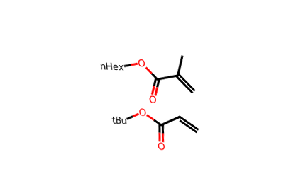 C=C(C)C(=O)OCCCCCC.C=CC(=O)OC(C)(C)C